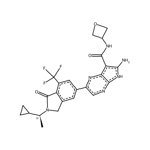 C[C@@H](C1CC1)N1Cc2cc(-c3cnc4[nH]c(N)c(C(=O)NC5COC5)c4n3)cc(C(F)(F)F)c2C1=O